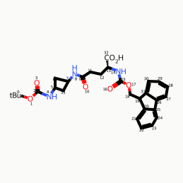 CC(C)(C)OC(=O)NC1CC(NC(=O)CC[C@H](NC(=O)OCC2c3ccccc3-c3ccccc32)C(=O)O)C1